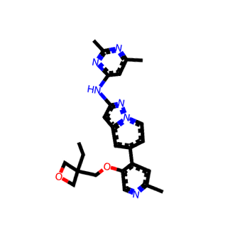 CCC1(COc2cnc(C)cc2-c2ccn3nc(Nc4cc(C)nc(C)n4)cc3c2)COC1